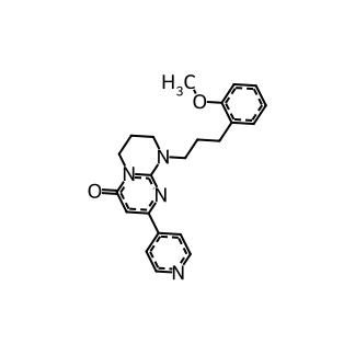 COc1ccccc1CCCN1CCCn2c1nc(-c1ccncc1)cc2=O